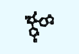 S=c1[nH]nc(-c2ccc(Cl)nc2)n1-c1ccc2c(c1)OCO2